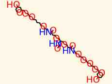 O=CNC(COCCC(=O)NCCOCCCCCOCCOCC1CC(O)CCO1)COCCC(=O)NCCOCCOCCOCCOCC1CC(O)CCO1